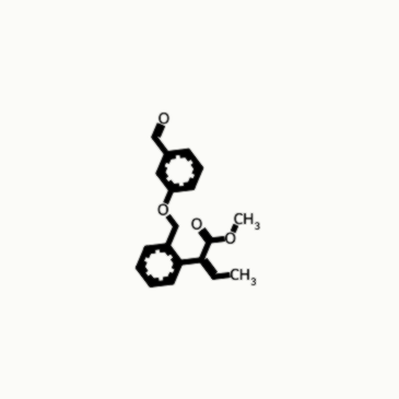 CC=C(C(=O)OC)c1ccccc1COc1cccc(C=O)c1